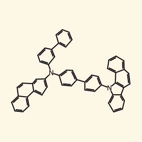 c1ccc(-c2cccc(N(c3ccc(-c4ccc(-n5c6ccccc6c6ccc7ccccc7c65)cc4)cc3)c3ccc4c(ccc5ccccc54)c3)c2)cc1